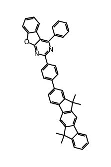 CC1(C)c2ccccc2-c2cc3c(cc21)-c1ccc(-c2ccc(-c4nc(-c5ccccc5)c5c(n4)oc4ccccc45)cc2)cc1C3(C)C